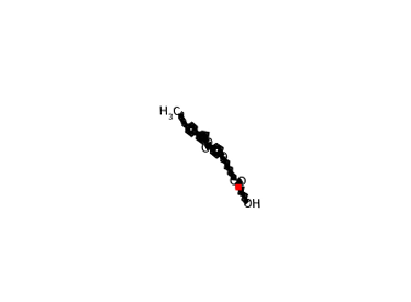 CCCCCC1CCC(c2ccc(OC(=O)C3=CC=C(OCCCCCCOC(=O)CCCCCO)CC3)cc2)CC1